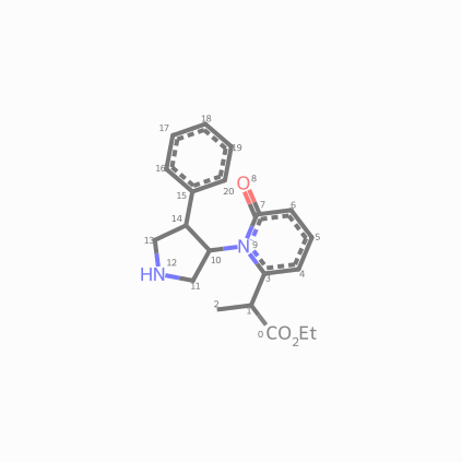 CCOC(=O)C(C)c1cccc(=O)n1C1CNCC1c1ccccc1